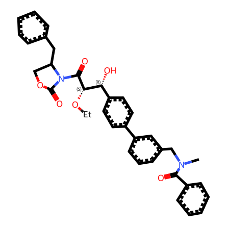 CCO[C@H](C(=O)N1C(=O)OCC1Cc1ccccc1)[C@H](O)c1ccc(-c2cccc(CN(C)C(=O)c3ccccc3)c2)cc1